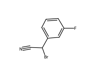 N#CC(Br)c1cccc(F)c1